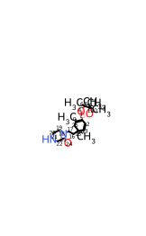 CC1=C(B2OC(C)(C)C(C)(C)O2)C=CC(C)(CCN2CCNCC2=O)C1